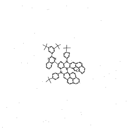 CC(C)(C)c1ccc(N2c3cc(-c4nc(-c5cc(C(C)(C)C)cc(C(C)(C)C)c5)nc5ccccc45)cc4c3B(c3c2cc2ccc5cccc6ccc3c2c56)c2c(cc3ccc5cccc6ccc2c3c56)N4c2ccc(C(C)(C)C)cc2)cc1